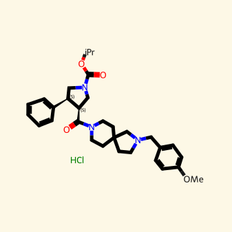 COc1ccc(CN2CCC3(CCN(C(=O)[C@@H]4CN(C(=O)OC(C)C)C[C@@H]4c4ccccc4)CC3)C2)cc1.Cl